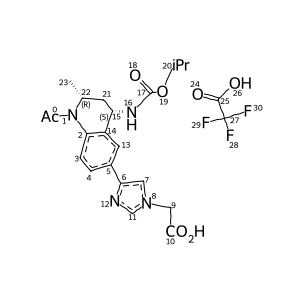 CC(=O)N1c2ccc(-c3cn(CC(=O)O)cn3)cc2[C@@H](NC(=O)OC(C)C)C[C@H]1C.O=C(O)C(F)(F)F